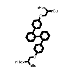 CCCCCCC(CCCC)COc1ccc(-c2ccccc2-c2ccccc2-c2ccc(OCC(CCCC)CCCCCC)cc2)cc1